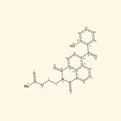 CC(C)(C)C(=O)OCCN1C(=O)c2cccc3c(C(=O)c4ccccc4O)ccc(c23)C1=O